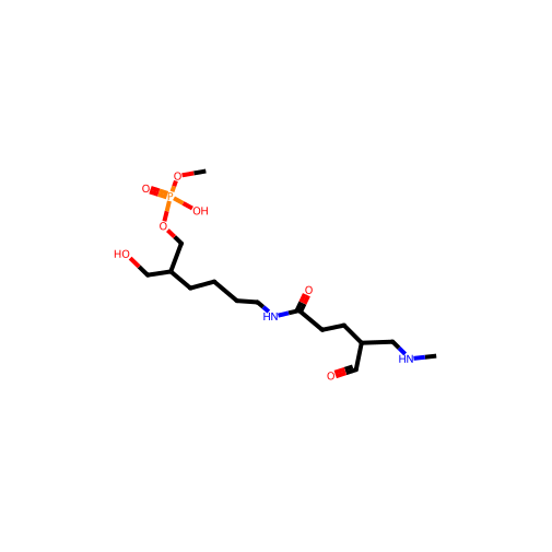 CNCC(C=O)CCC(=O)NCCCCC(CO)COP(=O)(O)OC